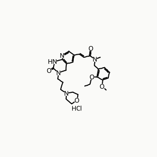 CCOc1c(CN(C)C(=O)C=Cc2cnc3c(c2)CN(CCCN2CCOCC2)C(=O)N3)cccc1OC.Cl